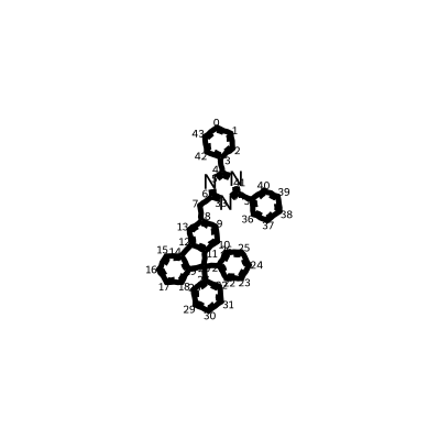 c1ccc(-c2nc(Cc3ccc4c(c3)-c3ccccc3C4(c3ccccc3)c3ccccc3)nc(-c3ccccc3)n2)cc1